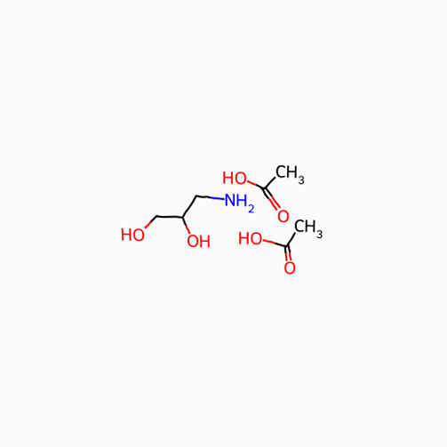 CC(=O)O.CC(=O)O.NCC(O)CO